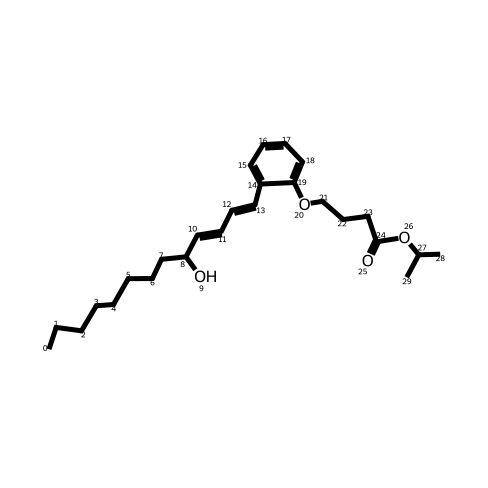 CCCCCCCCC(O)C=CC=Cc1ccccc1OCCCC(=O)OC(C)C